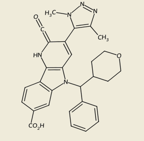 Cc1nnn(C)c1C1=Cc2c(c3ccc(C(=O)O)cc3n2C(c2ccccc2)C2CCOCC2)NC1=C=O